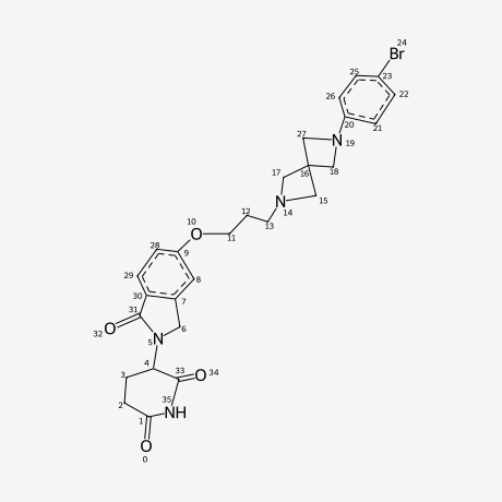 O=C1CCC(N2Cc3cc(OCCCN4CC5(C4)CN(c4ccc(Br)cc4)C5)ccc3C2=O)C(=O)N1